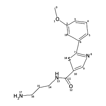 COc1cccc(-c2ncc(C(=O)NCCCN)s2)c1